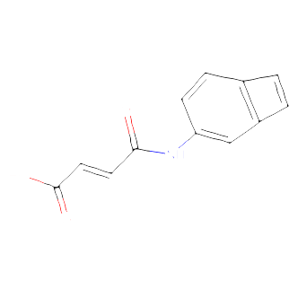 O=C(O)C=CC(=O)Nc1ccc2c(c1)C=C2